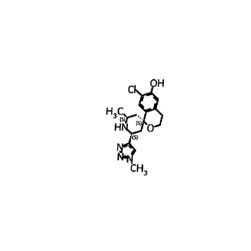 C[C@H]1C[C@@]2(C[C@@H](c3cn(C)nn3)N1)OCCc1cc(O)c(Cl)cc12